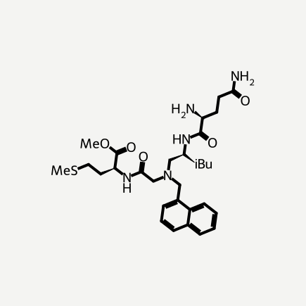 CC[C@H](C)[C@@H](CN(CC(=O)N[C@@H](CCSC)C(=O)OC)Cc1cccc2ccccc12)NC(=O)[C@@H](N)CCC(N)=O